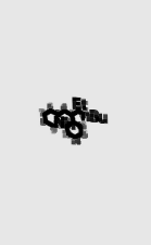 CCCCC(CC)C(CC1CCCCN1)C1CCCCC1